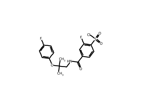 CC(C)(CNC(=O)c1ccc(S(=O)(=O)Cl)c(F)c1)Oc1ccc(F)cc1